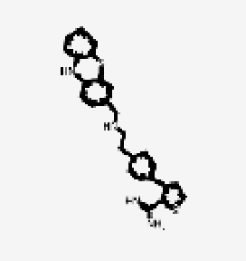 N=C(N)c1sccc1-c1ccc(CCNCc2ccc3c(c2)Sc2ccccc2N3)cc1